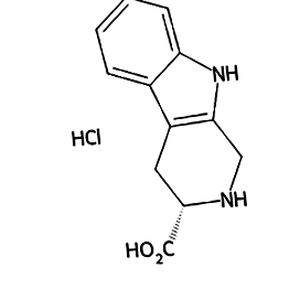 Cl.O=C(O)[C@@H]1Cc2c([nH]c3ccccc23)CN1